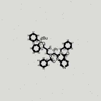 CC(C)[C@H](c1nc2cnccc2c(=O)n1Cc1ccccc1)N(C[C@H](F)CO[Si](c1ccccc1)(c1ccccc1)C(C)(C)C)C(=O)c1ccccc1